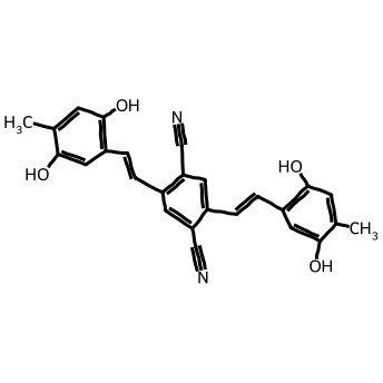 Cc1cc(O)c(/C=C/c2cc(C#N)c(/C=C/c3cc(O)c(C)cc3O)cc2C#N)cc1O